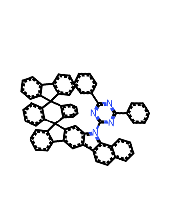 c1ccc(-c2nc(-c3ccccc3)nc(-n3c4cc5c(cc4c4ccc6ccccc6c43)-c3ccccc3C53c4ccccc4C4(c5ccccc5-c5ccccc54)c4ccccc43)n2)cc1